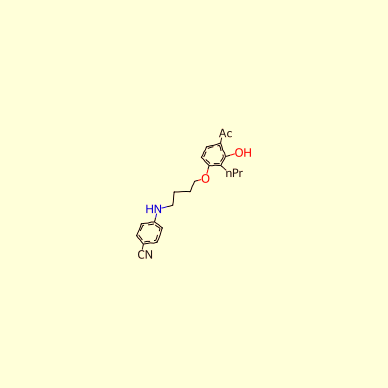 CCCc1c(OCCCCNc2ccc(C#N)cc2)ccc(C(C)=O)c1O